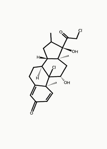 CC1C[C@H]2[C@@H]3CCC4=CC(=O)C=C[C@]4(C)C3(Cl)[C@@H](O)C[C@]2(C)[C@@]1(O)C(=O)CCl